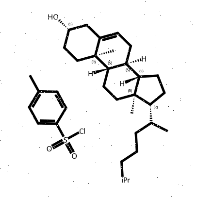 CC(C)CCCC(C)[C@H]1CC[C@H]2[C@@H]3CC=C4C[C@@H](O)CC[C@]4(C)[C@H]3CC[C@]12C.Cc1ccc(S(=O)(=O)Cl)cc1